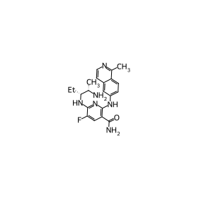 CC[C@@H](Nc1nc(Nc2ccc3c(C)nccc3c2)c(C(N)=O)cc1F)[C@H](C)N